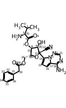 CC(C)[C@H](N)C(=O)O[C@H]1[C@@H](O)[C@](C#N)(c2ccc3c(N)ncnn23)O[C@@H]1COC(=O)Cc1ccccc1